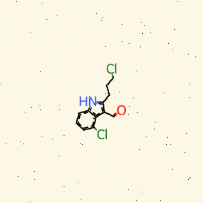 O=Cc1c(CCCCl)[nH]c2cccc(Cl)c12